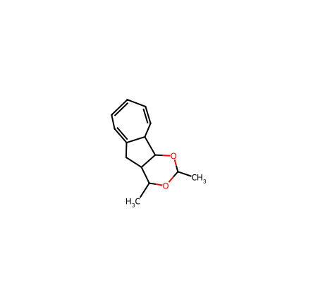 CC1OC(C)C2CC3=CC=CC=CC3C2O1